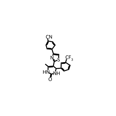 CC1=C(c2nc(-c3ccc(C#N)cc3)cs2)C(c2cccc(C(F)(F)F)c2)NC(=O)N1